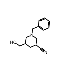 N#CC1CC(CO)CN(Cc2ccccc2)C1